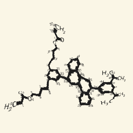 C=CC(=O)OCCCCc1cc(CCCCOC(=O)C=C)cc(-c2cc3c4ccccc4c(-c4cc(C(=C)C)cc(C(=C)C)c4)cc3c3ccccc23)c1